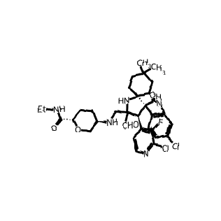 CCNC(=O)[C@@H]1CC[C@@H](NCC2(C=O)NC3(CCC(C)(C)CC3)[C@@]3(C(=O)Nc4cc(Cl)ccc43)[C@H]2c2ccnc(Cl)c2F)CO1